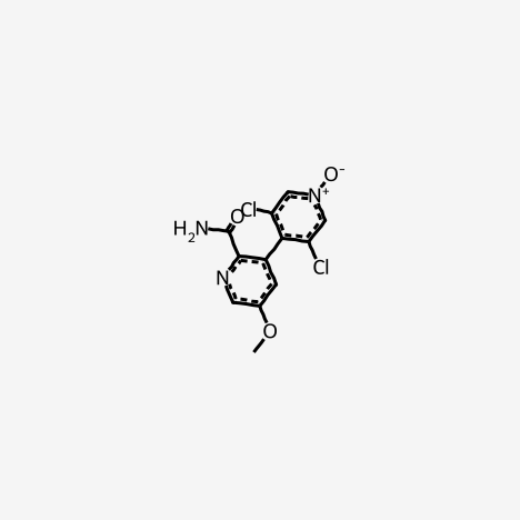 COc1cnc(C(N)=O)c(-c2c(Cl)c[n+]([O-])cc2Cl)c1